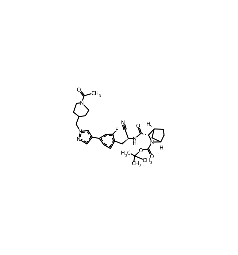 CC(=O)N1CCC(Cn2cc(-c3ccc(C[C@@H](C#N)NC(=O)[C@@H]4[C@H]5CC[C@H](C5)N4C(=O)OC(C)(C)C)c(F)c3)cn2)CC1